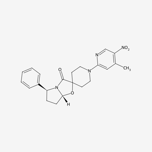 Cc1cc(N2CCC3(CC2)O[C@@H]2CC[C@@H](c4ccccc4)N2C3=O)ncc1[N+](=O)[O-]